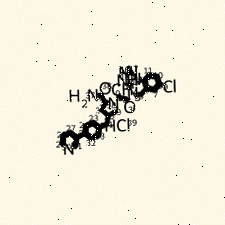 C[C@@H](C(=O)NCc1cc(Cl)ccc1-n1cnnn1)N1CC(Cc2ccc(-c3cccnc3)cc2)CC1C(N)=O.Cl